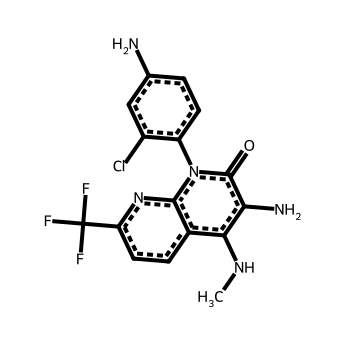 CNc1c(N)c(=O)n(-c2ccc(N)cc2Cl)c2nc(C(F)(F)F)ccc12